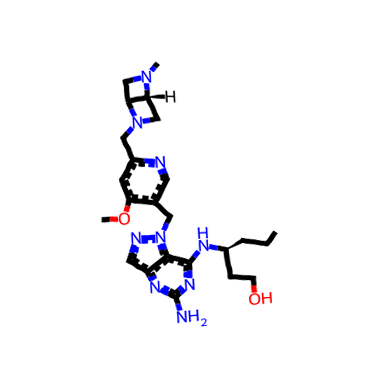 CCC[C@@H](CCO)Nc1nc(N)nc2cnn(Cc3cnc(CN4C[C@@H]5C4CN5C)cc3OC)c12